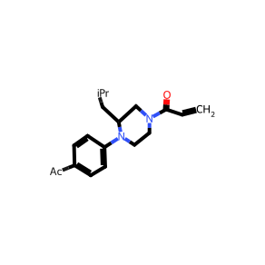 C=CC(=O)N1CCN(c2ccc(C(C)=O)cc2)C(CC(C)C)C1